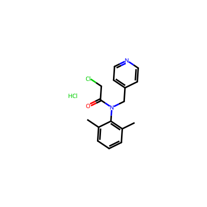 Cc1cccc(C)c1N(Cc1ccncc1)C(=O)CCl.Cl